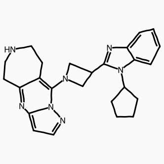 c1ccc2c(c1)nc(C1CN(c3c4c(nc5ccnn35)CCNCC4)C1)n2C1CCCC1